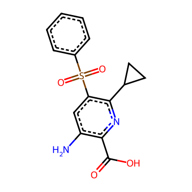 Nc1cc(S(=O)(=O)c2ccccc2)c(C2CC2)nc1C(=O)O